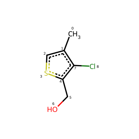 Cc1csc(CO)c1Cl